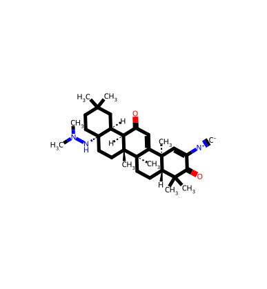 [C-]#[N+]C1=C[C@]2(C)C3=CC(=O)[C@@H]4[C@@H]5CC(C)(C)CC[C@]5(NN(C)C)CC[C@@]4(C)[C@]3(C)CC[C@H]2C(C)(C)C1=O